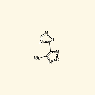 CC(C)(C)c1nonc1-c1ncno1